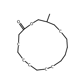 CC1CCCCCCCCCCCCCCC(=O)OC1